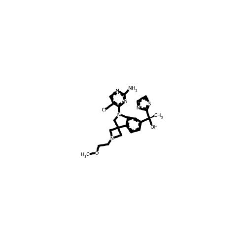 COCCN1CC2(C1)CN(c1nc(N)ncc1Cl)c1cc([C@@](C)(O)c3nccs3)ccc12